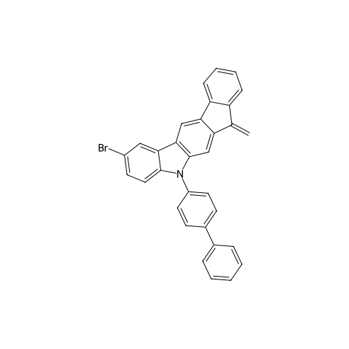 C=C1c2ccccc2-c2cc3c4cc(Br)ccc4n(-c4ccc(-c5ccccc5)cc4)c3cc21